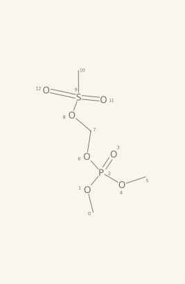 COP(=O)(OC)OCOS(C)(=O)=O